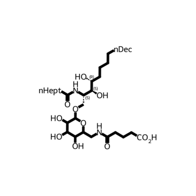 CCCCCCCCCCCCCC[C@@H](O)[C@@H](O)[C@H](COC1OC(CNC(=O)CCCC(=O)O)C(O)C(O)C1O)NC(=O)CCCCCCC